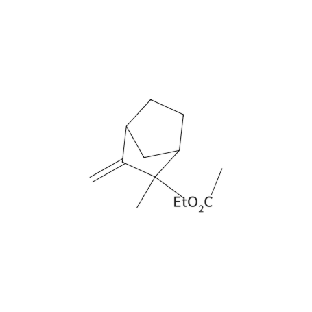 C=C1C2CCC(C2)C1(C)C.CCOC(C)=O